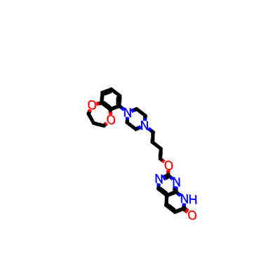 O=c1ccc2cnc(OCCCCN3CCN(c4cccc5c4OCCCO5)CC3)nc2[nH]1